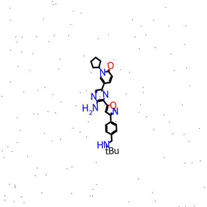 CC(C)(C)NCc1ccc(-c2cc(-c3nc(-c4ccc(=O)n(C5CCCC5)c4)cnc3N)on2)cc1